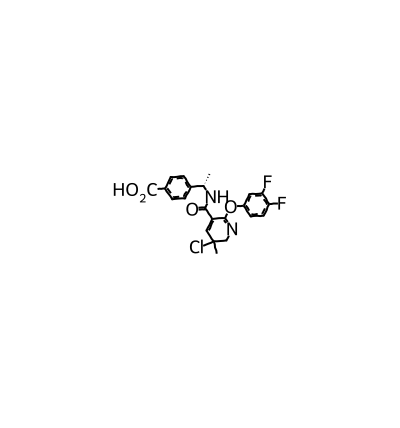 C[C@H](NC(=O)C1=CC(C)(Cl)CN=C1Oc1ccc(F)c(F)c1)c1ccc(C(=O)O)cc1